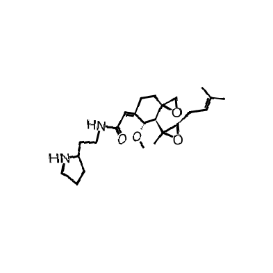 CO[C@@H]1/C(=C\C(=O)NCCC2CCCN2)CC[C@]2(CO2)[C@H]1C1(C)O[C@@H]1CC=C(C)C